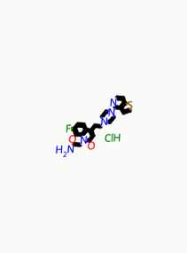 Cl.NC(=O)Cn1c(=O)cc(CCN2CCN(c3nccc4sccc34)CC2)c2ccc(F)cc21